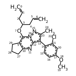 C=CCC(CC=C)Oc1c2c(nc3c(-c4ccc(OC)cc4Cl)c(C)nn13)CCC2